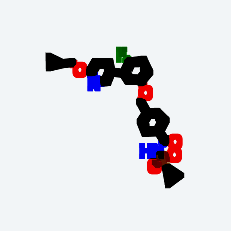 O=C(NS(=O)(=O)C1CC1)c1ccc(COc2ccc(F)c(-c3ccc(OCC4CC4)nc3)c2)cc1